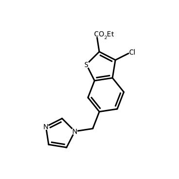 CCOC(=O)c1sc2cc(Cn3ccnc3)ccc2c1Cl